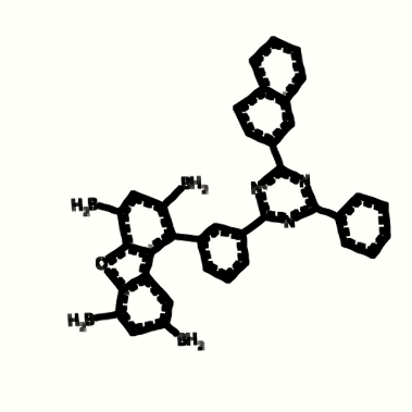 Bc1cc(B)c2oc3c(B)cc(B)c(-c4cccc(-c5nc(-c6ccccc6)nc(-c6ccc7ccccc7c6)n5)c4)c3c2c1